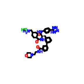 Cl.NCC1CCC(C(=O)N[C@@H](Cc2cccc(-c3cccc(C(=O)NCCN4CCOCC4)c3)c2)C(=O)Nc2ccc(-c3nnn[nH]3)cc2)CC1